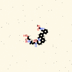 COC(=O)NCc1ccccc1-c1ccc(CN2C(=O)[C@H](NC(=O)CC(C)(C)NC[C@H](O)CO)CCc3ccccc32)cc1